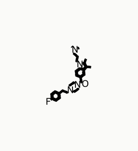 Cc1c(C)n(CCCN(C)C)c2ccc(C(=O)N3CCN(CCc4ccc(F)cc4)CC3)cc12